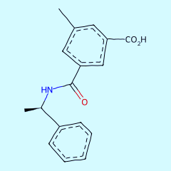 Cc1cc(C(=O)O)cc(C(=O)N[C@H](C)c2ccccc2)c1